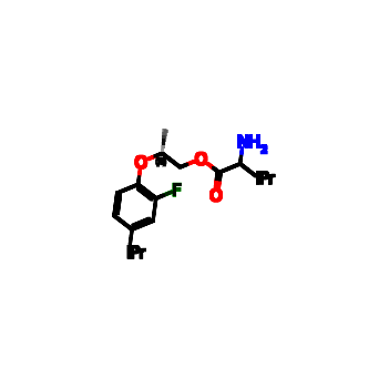 CC(C)c1ccc(O[C@H](C)COC(=O)C(N)C(C)C)c(F)c1